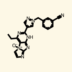 CCC1=C2C(=NC3=NC=C[N+]32[O-])NC(c2cnn(Cc3cccc(C#N)c3)c2)=N1